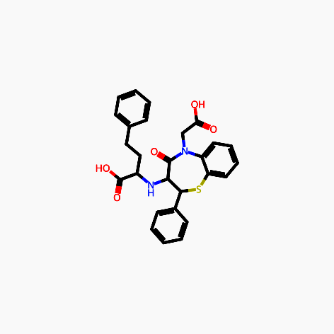 O=C(O)CN1C(=O)C(NC(CCc2ccccc2)C(=O)O)C(c2ccccc2)Sc2ccccc21